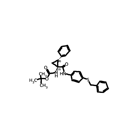 CC(C)(C)OC(=O)N[C@@]1(C(=O)Nc2ccc(SCc3ccccc3)cc2)C[C@@H]1c1ccccc1